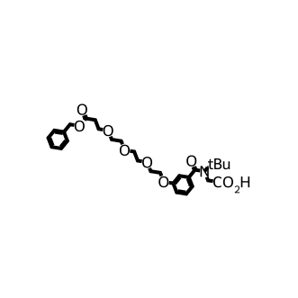 CC(C)(C)N(CC(=O)O)C(=O)c1cccc(OCCOCCOCCOCCC(=O)OCc2ccccc2)c1